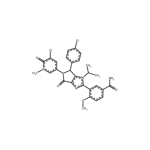 COc1ccc(C(N)=O)cc1-c1nc2c(n1C(C)C)C(c1ccc(Cl)cc1)N(c1cc(Cl)c(=O)n(C)c1)C2=O